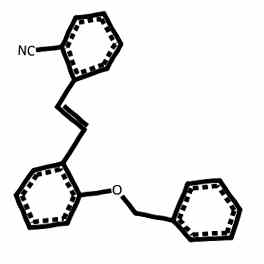 N#Cc1ccccc1C=Cc1ccccc1OCc1ccccc1